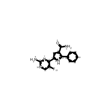 NC(=O)c1cc(-c2nc(N)ncc2F)[nH]c1-c1ccccc1